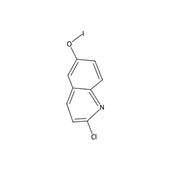 Clc1ccc2cc(OI)ccc2n1